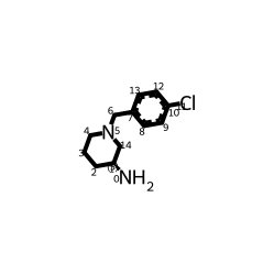 N[C@H]1CCCN(Cc2ccc(Cl)cc2)C1